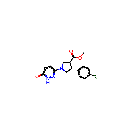 COC(=O)[C@@H]1CN(c2ccc(=O)[nH]n2)C[C@H]1c1ccc(Cl)cc1